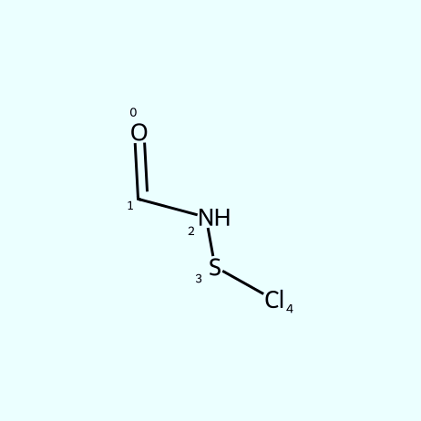 O=CNSCl